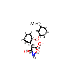 COc1cccc(Oc2ccccc2-c2c(O)on(C)c2=O)c1